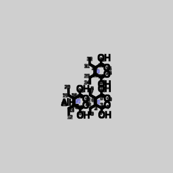 CC/C(C(=O)O)=C(\CC)C(=O)O.CC/C(C(=O)O)=C(\CC)C(=O)O.CC/C(C(=O)O)=C(\CC)C(=O)O.[AlH3]